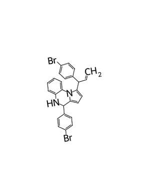 C=CC(c1ccc(Br)cc1)c1ccc2n1-c1ccccc1NC2c1ccc(Br)cc1